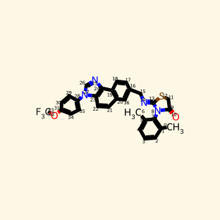 Cc1cccc(C)c1N1C(=O)CS/C1=N\Cc1ccc2c(ccc3c2ncn3-c2ccc(OC(F)(F)F)cc2)c1